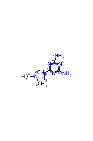 CN(C)C.Nc1nc(N)nc(N)n1